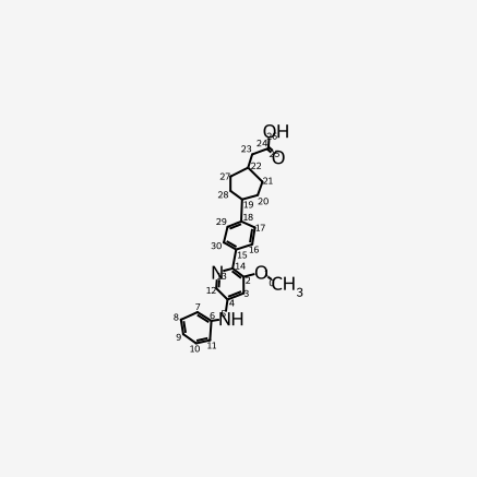 COc1cc(Nc2ccccc2)cnc1-c1ccc(C2CCC(CC(=O)O)CC2)cc1